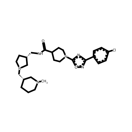 CN1CCC[C@H](CN2CC[C@H](CNC(=O)C3CCN(c4nc(-c5ccc(Cl)cc5)no4)CC3)C2)C1